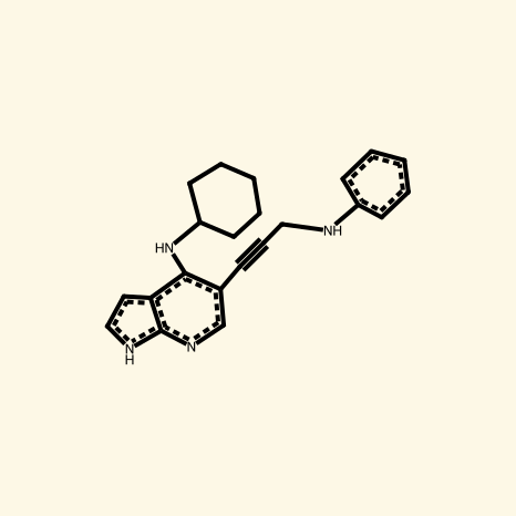 C(#Cc1cnc2[nH]ccc2c1NC1CCCCC1)CNc1ccccc1